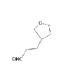 O=CCCC1CCOC1